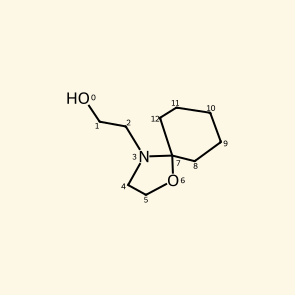 OCCN1CCOC12CCCCC2